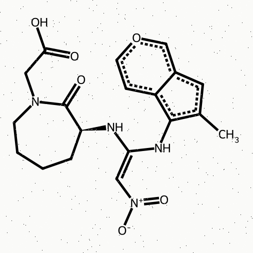 Cc1cc2coccc-2c1NC(=C[N+](=O)[O-])N[C@H]1CCCCN(CC(=O)O)C1=O